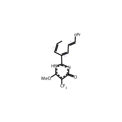 C\C=C/C(=C\C=C\CCC)c1nc(=O)c(C(F)(F)F)c(OC)[nH]1